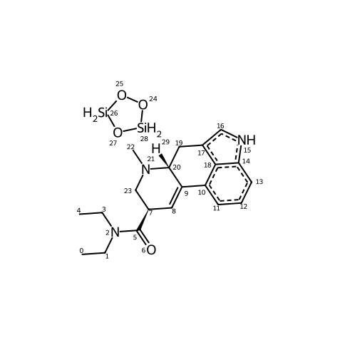 CCN(CC)C(=O)[C@@H]1C=C2c3cccc4[nH]cc(c34)C[C@H]2N(C)C1.O1O[SiH2]O[SiH2]1